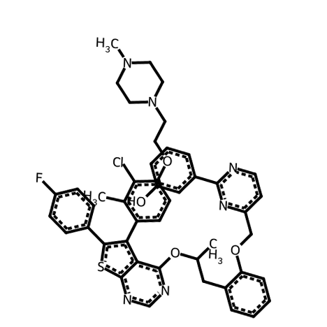 Cc1c(-c2c(-c3ccc(F)cc3)sc3ncnc(OC(C)Cc4ccccc4OCc4ccnc(-c5cccc(O)c5)n4)c23)ccc(OCCN2CCN(C)CC2)c1Cl